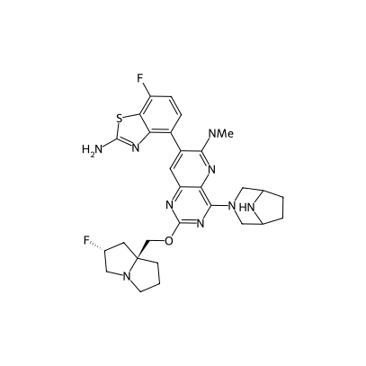 CNc1nc2c(N3CC4CCC(C3)N4)nc(OC[C@@]34CCCN3C[C@H](F)C4)nc2cc1-c1ccc(F)c2sc(N)nc12